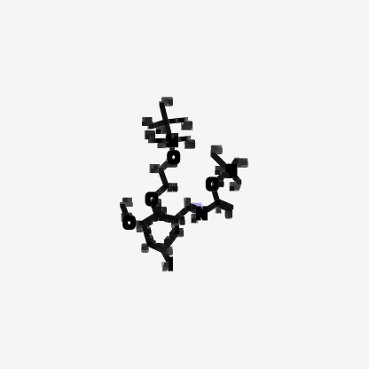 C=C(/N=C/c1cc(I)cc(OC)c1OCCO[Si](C)(C)C(C)(C)C)O[Si](C)(C)C